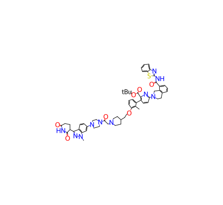 Cc1c(OCCC2CCN(CC(=O)N3CCN(c4ccc5c(C6CCC(=O)NC6=O)nn(C)c5c4)CC3)CC2)cccc1-c1ccc(N2CCc3cccc(C(=O)Nc4nc5ccccc5s4)c3C2)nc1C(=O)OC(C)(C)C